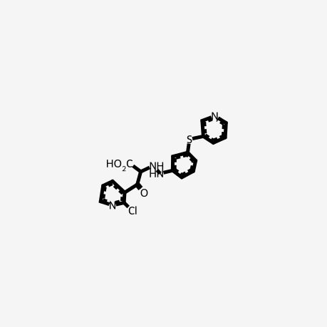 O=C(O)C(NNc1cccc(Sc2cccnc2)c1)C(=O)c1cccnc1Cl